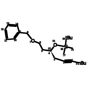 CCCCC#CC[C@H](CCOCc1ccccc1)O[Si](C)(C)C(C)(C)C